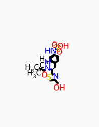 CC(C)(C)C(=O)N[C@@H](Cc1ccc(NS(=O)(=O)O)cc1)C1=NC(CO)CS1